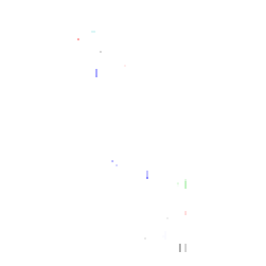 CN(C)C(=O)c1ccc(N2CCC(CC3CCN(C(=O)C(O)(c4ccccc4)C(F)(F)F)CC3)CC2)nc1Cl